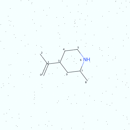 C=C(C)C1CCNC(C)C1